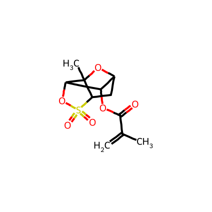 C=C(C)C(=O)OC1C2CC3C(C)(O2)C1OS3(=O)=O